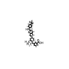 C=C(c1ccnc(C(=O)O)c1)N1CC[C@@H](N2Cc3cnc(Nc4ccc(C(F)(F)F)cc4)nc3C2)C[C@H]1C